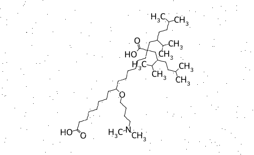 CC(C)CCC(CC(CCCCCCC(CCCCCCCC(=O)O)OCCCCN(C)C)(CC(CCC(C)C)C(C)C)C(=O)O)C(C)C